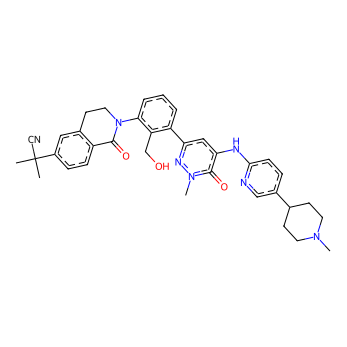 CN1CCC(c2ccc(Nc3cc(-c4cccc(N5CCc6cc(C(C)(C)C#N)ccc6C5=O)c4CO)nn(C)c3=O)nc2)CC1